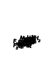 CCc1cc(C(F)(C(F)(F)F)C(F)(F)C(F)(F)F)cc(C)c1NC(=O)c1cccc(N)c1OC